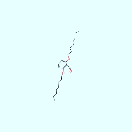 CCCCCCCCOc1cccc(OCCCCCCCC)c1C=O